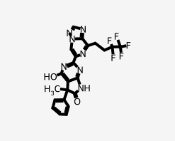 CC1(c2ccccc2)C(=O)Nc2nc(-c3cn4ncnc4c(CCC(F)(F)C(F)(F)F)n3)nc(O)c21